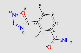 Cc1ccc(C(N)=O)c(C)c1-c1ncno1